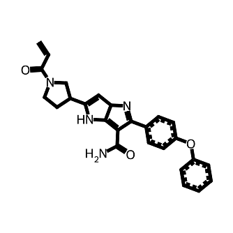 C=CC(=O)N1CCC(C2=CC3N=C(c4ccc(Oc5ccccc5)cc4)C(C(N)=O)=C3N2)C1